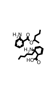 CCCC(C)OC(=O)c1ccccc1N.CCCCCC1(N)C=CC=CC1C(=O)O